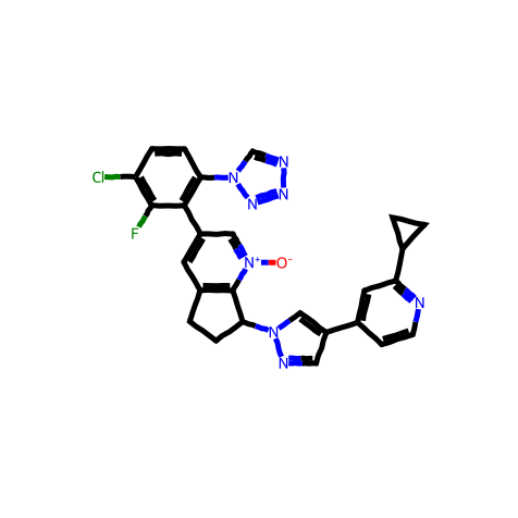 [O-][n+]1cc(-c2c(-n3cnnn3)ccc(Cl)c2F)cc2c1C(n1cc(-c3ccnc(C4CC4)c3)cn1)CC2